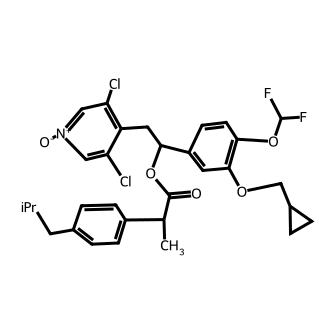 CC(C)Cc1ccc(C(C)C(=O)OC(Cc2c(Cl)c[n+]([O-])cc2Cl)c2ccc(OC(F)F)c(OCC3CC3)c2)cc1